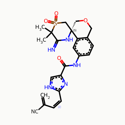 C=C(C#N)/C=C\c1nc(C(=O)Nc2ccc3c(c2)[C@]2(COC3)CS(=O)(=O)C(C)(C)C(=N)N2)c[nH]1